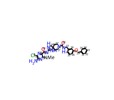 CNc1nc(N)c(Cl)nc1C(=O)/N=C1\NCC2(CCN(C(=O)NCc3cccc(OCc4ccccc4)c3)CC2)N1